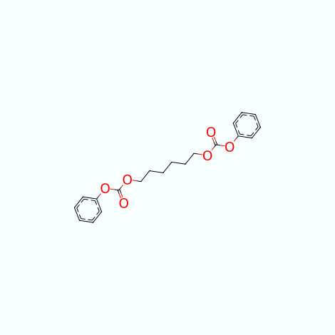 O=C(OCCCCCCOC(=O)Oc1ccccc1)Oc1ccccc1